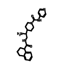 NC(CNC(=O)C1CCCc2ccccc21)C1CCN(C(=O)Nc2ccncc2)CC1